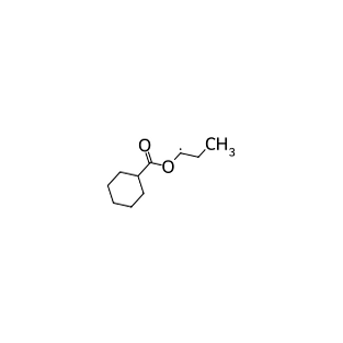 CC[CH]OC(=O)C1CCCCC1